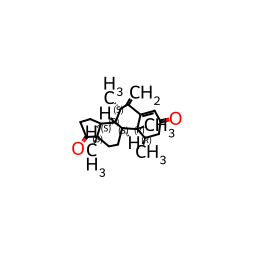 C=C1C2=CC(=O)C[C@@H](C)[C@]2(C)[C@H]2CC[C@]3(C)C(=O)CC[C@H]3[C@@H]2[C@@H]1C